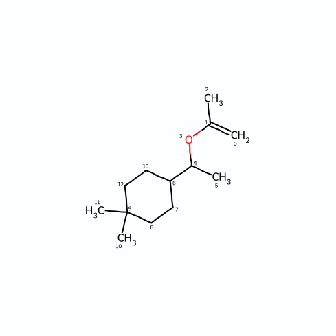 C=C(C)OC(C)C1CCC(C)(C)CC1